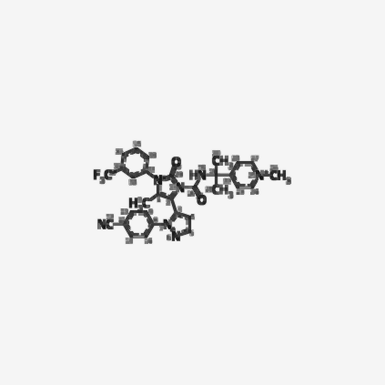 Cc1c(-c2ccnn2-c2ccc(C#N)cc2)n(C(=O)NC(C)(C)c2cc[n+](C)cc2)c(=O)n1-c1cccc(C(F)(F)F)c1